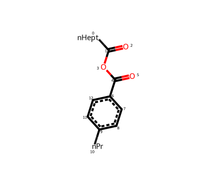 CCCCCCCC(=O)OC(=O)c1ccc(CCC)cc1